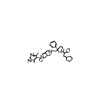 Cc1ncnc(C)c1C(=O)N1C=C2CN(CCC3(c4ccccc4)CCN(C(=O)CC4CCCC4)C3)CC2C1